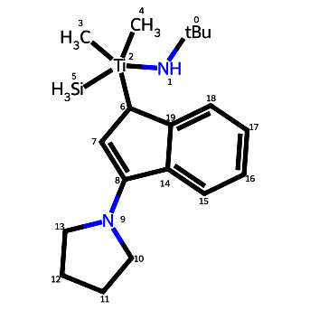 CC(C)(C)[NH][Ti]([CH3])([CH3])([SiH3])[CH]1C=C(N2CCCC2)c2ccccc21